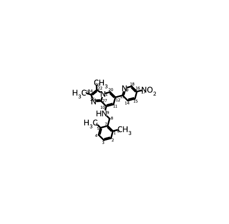 Cc1cccc(C)c1CNc1cc(-c2ccc([N+](=O)[O-])cn2)cn2c(C)c(C)nc12